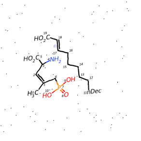 CC(=CC(N)C(=O)O)CP(=O)(O)O.CCCCCCCCCCCCCCC/C=C/C(=O)O